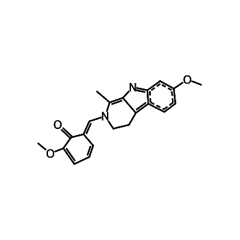 COC1=CC=C/C(=C\N2CCC3=c4ccc(OC)cc4=NC3=C2C)C1=O